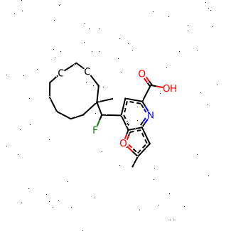 Cc1cc2nc(C(=O)O)cc(C(F)C3(C)CCCCCCCCC3)c2o1